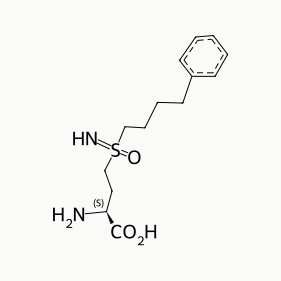 N=S(=O)(CCCCc1ccccc1)CC[C@H](N)C(=O)O